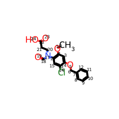 COc1cc(OCc2ccccc2)c(Cl)cc1N(C=O)CCC(=O)O